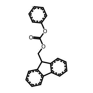 O=C(OCC1c2ccccc2-c2ccccc21)Oc1cc[c]cc1